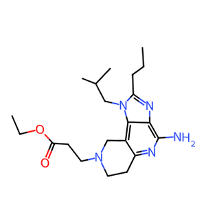 CCCc1nc2c(N)nc3c(c2n1CC(C)C)CN(CCC(=O)OCC)CC3